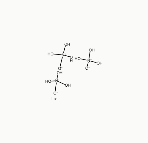 [La].[O-][N+](O)(O)O.[O-][N+](O)(O)O.[O-][N+](O)(O)O